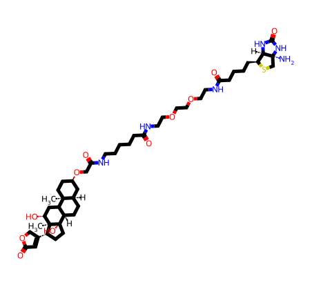 C[C@]12[C@H](O)CC3[C@@H](CC[C@@H]4C[C@@H](OCC(=O)NCCCCCC(=O)NCCOCCOCCNC(=O)CCCC[C@@H]5SC[C@]6(N)NC(=O)N[C@H]56)CC[C@]34C)[C@@]1(O)CC[C@@H]2C1=CC(=O)OC1